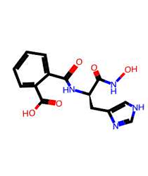 O=C(O)c1ccccc1C(=O)N[C@H](Cc1c[nH]cn1)C(=O)NO